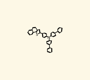 c1ccc(-c2ccc(N(c3ccc(-c4ccccc4)cc3)c3ccc(-c4cc5ccc6ccccc6c5s4)cc3)cc2)cc1